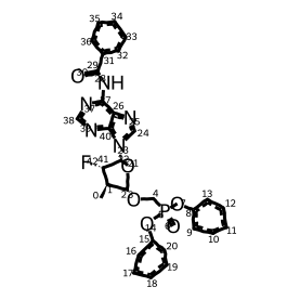 C[C@@H]1[C@@H](OCP(=O)(Oc2ccccc2)Oc2ccccc2)O[C@@H](n2cnc3c(NC(=O)c4ccccc4)ncnc32)[C@H]1F